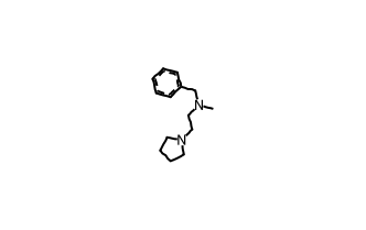 CN(CCN1CCCC1)Cc1ccccc1